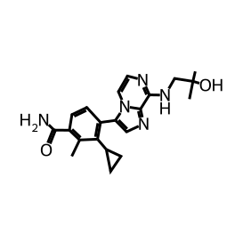 Cc1c(C(N)=O)ccc(-c2cnc3c(NCC(C)(C)O)nccn23)c1C1CC1